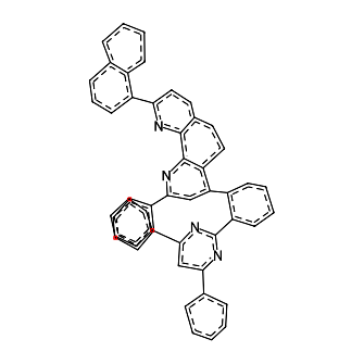 c1ccc(-c2cc(-c3ccccc3)nc(-c3ccccc3-c3cc(-c4ccccc4)nc4c3ccc3ccc(-c5cccc6ccccc56)nc34)n2)cc1